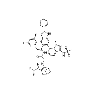 Cn1nc(NS(C)(=O)=O)c2cccc(-c3cc4[nH]c(-c5ccccc5)cc4nc3[C@H](Cc3cc(F)cc(F)c3)NC(=O)Cn3nc(C(F)F)c4c3C3CC(C4)C3)c21